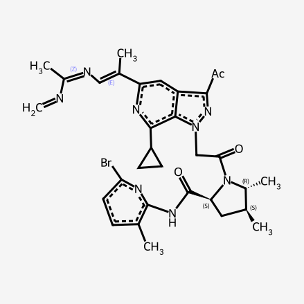 C=N/C(C)=N\C=C(/C)c1cc2c(C(C)=O)nn(CC(=O)N3[C@H](C)[C@@H](C)C[C@H]3C(=O)Nc3nc(Br)ccc3C)c2c(C2CC2)n1